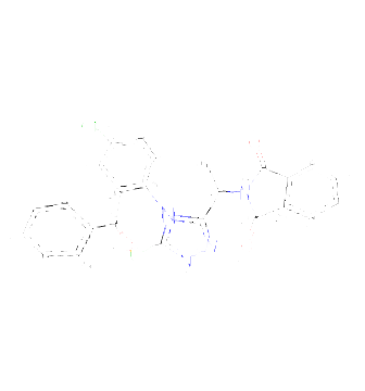 CC(c1nnc(Cl)n1-c1ccc(Cl)cc1C(=O)c1ccccc1)N1C(=O)c2ccccc2C1=O